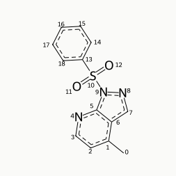 Cc1ccnc2c1cnn2S(=O)(=O)c1ccccc1